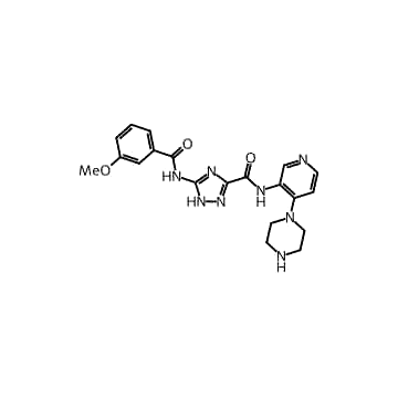 COc1cccc(C(=O)Nc2nc(C(=O)Nc3cnccc3N3CCNCC3)n[nH]2)c1